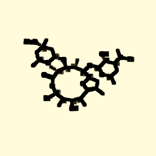 CC[C@H]1OC(=O)[C@H](C)[C@@H](O[C@H]2C[C@@](C)(OC)C[C@H](C)O2)[C@H](C)[C@@H](O[C@@H]2O[C@H](C)C[C@H](N(C)CC)[C@H]2O)[C@@]2(C)CC(C)=C(O2)[C@@H](C)[C@@H](O)[C@H]1C